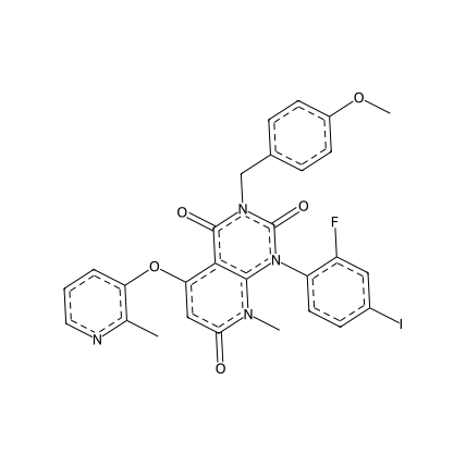 COc1ccc(Cn2c(=O)c3c(Oc4cccnc4C)cc(=O)n(C)c3n(-c3ccc(I)cc3F)c2=O)cc1